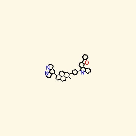 CC1C(c2ccc(-c3nc4ccccc4c4c3ccc3c5ccccc5oc34)cc2)=CC2=CC=C3C(c4cc5cccnc5c5ncccc45)=CC=C4C=CC1C2C43